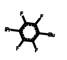 CCC(C)c1c(F)c(F)c(C(C)C)c(F)c1F